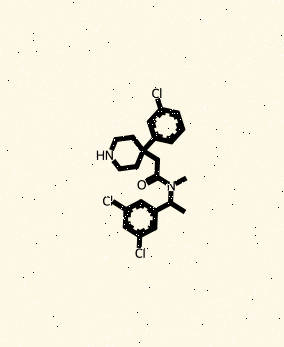 CC(c1cc(Cl)cc(Cl)c1)N(C)C(=O)CC1(c2cccc(Cl)c2)CCNCC1